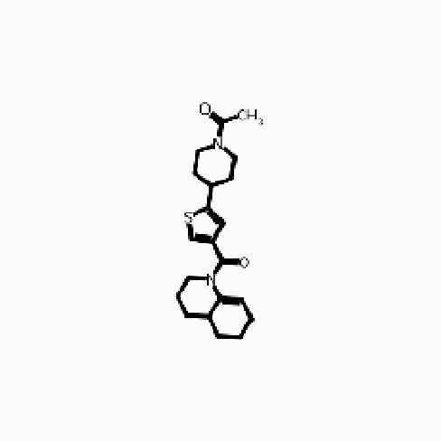 CC(=O)N1CCC(c2cc(C(=O)N3CCCC4CCCC=C43)cs2)CC1